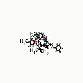 COC(=O)c1nc2oc1[C@]13c4cc(ccc4OC1Nc1c(C)cccc13)C[C@H](NC(=O)OCc1ccccc1)C(=O)N[C@H]2C(C)C